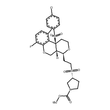 CC(C)(C)OC(=O)N1CC[C@@H](S(=O)(=O)CC[C@@H]2OCC[C@@]3(S(=O)(=O)c4ccc(Cl)cc4)c4c(F)ccc(F)c4OC[C@@H]23)C1